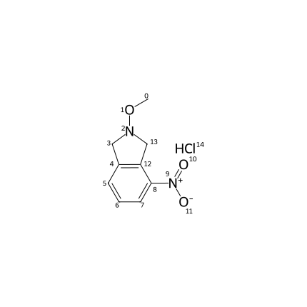 CON1Cc2cccc([N+](=O)[O-])c2C1.Cl